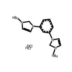 CCCCN1C=CN(c2cccc(N3C=CN(CCCC)C3)c2)C1.Cl.Cl